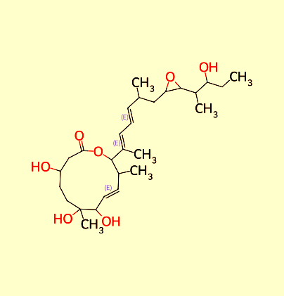 CCC(O)C(C)C1OC1CC(C)/C=C/C=C(\C)C1OC(=O)CC(O)CCC(C)(O)C(O)/C=C/C1C